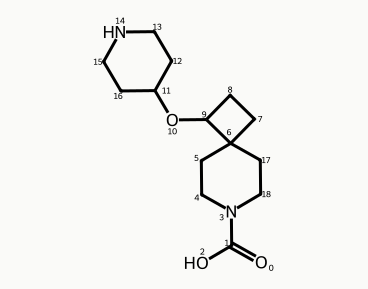 O=C(O)N1CCC2(CCC2OC2CCNCC2)CC1